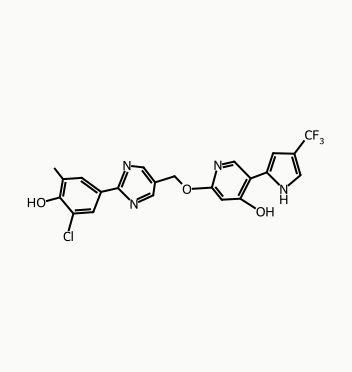 Cc1cc(-c2ncc(COc3cc(O)c(-c4cc(C(F)(F)F)c[nH]4)cn3)cn2)cc(Cl)c1O